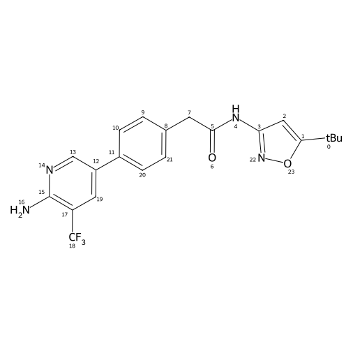 CC(C)(C)c1cc(NC(=O)Cc2ccc(-c3cnc(N)c(C(F)(F)F)c3)cc2)no1